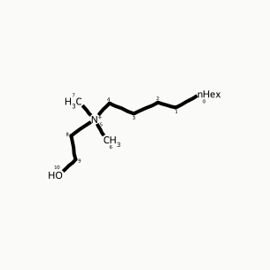 CCCCCCCCCC[N+](C)(C)CCO